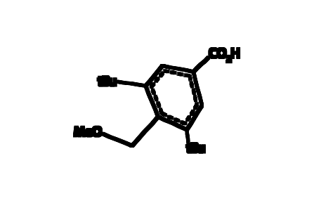 COCc1c(C(C)(C)C)cc(C(=O)O)cc1C(C)(C)C